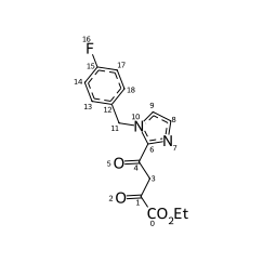 CCOC(=O)C(=O)CC(=O)c1nccn1Cc1ccc(F)cc1